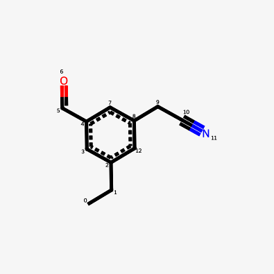 CCc1cc(C=O)cc(CC#N)c1